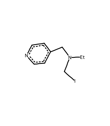 CCN(CI)Cc1ccncc1